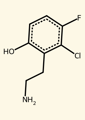 NCCc1c(O)ccc(F)c1Cl